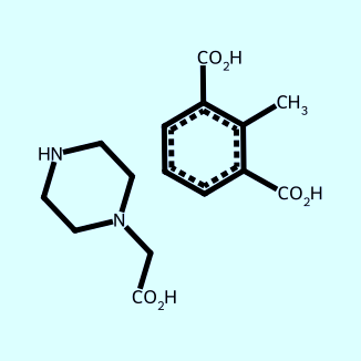 Cc1c(C(=O)O)cccc1C(=O)O.O=C(O)CN1CCNCC1